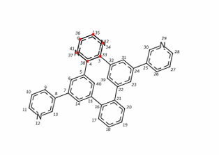 c1cncc(-c2cc(-c3cccnc3)cc(-c3ccccc3-c3cc(-c4cccnc4)cc(-c4cccnc4)c3)c2)c1